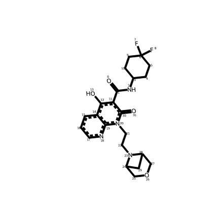 O=C(NC1CCC(F)(F)CC1)c1c(O)c2cccnc2n(CCN2C3COCC2C3)c1=O